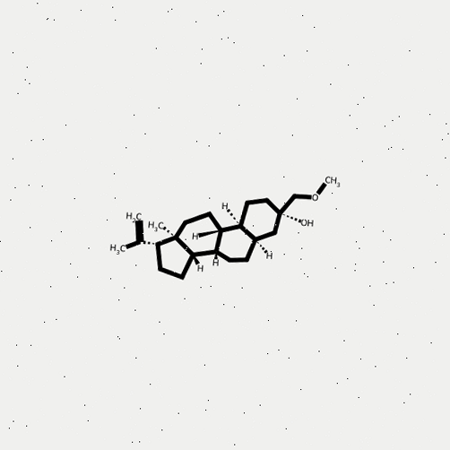 C=C(C)[C@H]1CC[C@H]2[C@@H]3CC[C@@H]4C[C@](O)(COC)CC[C@@H]4[C@H]3CC[C@]12C